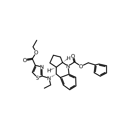 CCOC(=O)c1csc(N(CC)[C@H]2c3ccccc3N(C(=O)OCc3ccccc3)[C@@H]3CCC[C@@H]32)n1